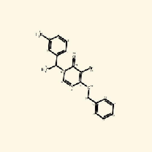 CC(c1cccc(N)c1)n1cnc(OCc2ccccc2)c(Br)c1=O